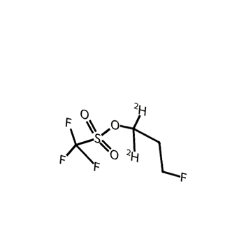 [2H]C([2H])(CCF)OS(=O)(=O)C(F)(F)F